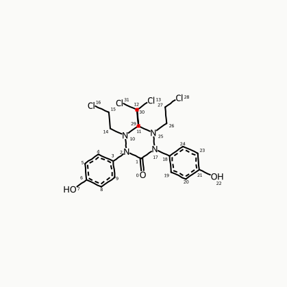 O=C(N(c1ccc(O)cc1)N(CCCl)CCCl)N(c1ccc(O)cc1)N(CCCl)CCCl